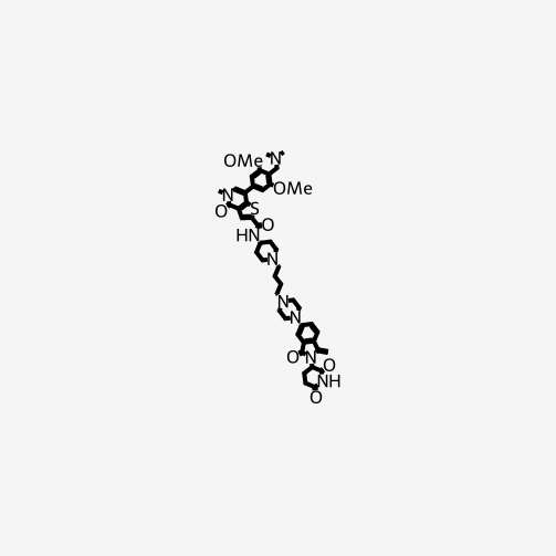 C=C1c2ccc(N3CCN(CCCCN4CCC(NC(=O)c5cc6c(=O)n(C)cc(-c7cc(OC)c(CN(C)C)c(OC)c7)c6s5)CC4)CC3)cc2C(=O)N1C1CCC(=O)NC1=O